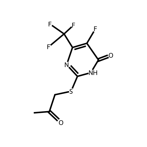 CC(=O)CSc1nc(C(F)(F)F)c(F)c(=O)[nH]1